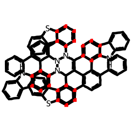 c1ccc(C2=C(c3c(-c4ccccc4)ccc(-c4ccccc4)c3-c3cccc4c3[nH]c3ccccc34)C(c3cccc4sc5ccccc5c34)N(c3ccccc3)N(c3c(-c4ccccc4)ccc(-c4ccccc4)c3-c3cccc4c3[nH]c3ccccc34)N2c2cccc3sc4ccccc4c23)cc1